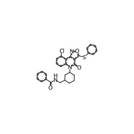 O=C(NCC1CCCC(n2c(=O)c3c(Sc4ccccc4)onc3c3c(Cl)cccc32)C1)c1ccccc1